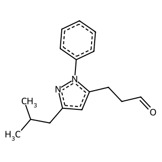 CC(C)Cc1cc(CCC=O)n(-c2ccccc2)n1